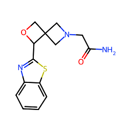 NC(=O)CN1CC2(COC2c2nc3ccccc3s2)C1